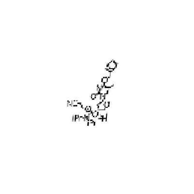 [2H]C[C@H]1O[C@@H](n2cc(C)c(OCC3CC4C=CC3C4)nc2=O)C[C@H]1OP(OCCC#N)N(C(C)C)C(C)C